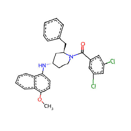 COc1ccc(N[C@H]2CCN(C(=O)c3cc(Cl)cc(Cl)c3)[C@H](Cc3ccccc3)C2)c2ccccc12